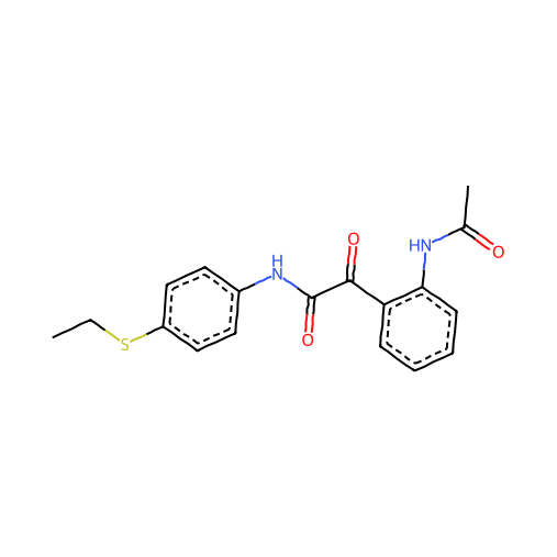 CCSc1ccc(NC(=O)C(=O)c2ccccc2NC(C)=O)cc1